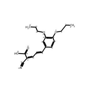 CCCOc1ccc(C=CC=C(C#N)C(=O)O)cc1OCCC